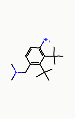 CN(C)Cc1ccc(N)c(C(C)(C)C)c1C(C)(C)C